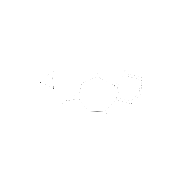 c1ccc2c(c1)CCN(C[C@@H]1CO1)CC2